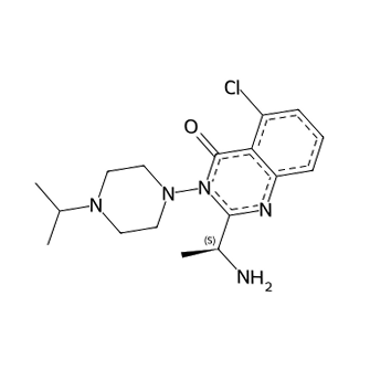 CC(C)N1CCN(n2c([C@H](C)N)nc3cccc(Cl)c3c2=O)CC1